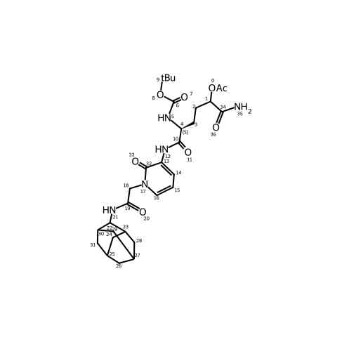 CC(=O)OC(CC[C@H](NC(=O)OC(C)(C)C)C(=O)Nc1cccn(CC(=O)NC2C3CC4CC(C3)CC2C4)c1=O)C(N)=O